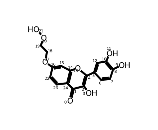 O=c1c(O)c(-c2ccc(O)c(O)c2)oc2cc(OCCOO)ccc12